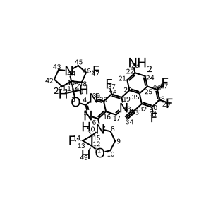 [2H]C([2H])(Oc1nc(N2CCCO[C@H]3[C@H](F)[C@H]32)c2cnc(-c3cc(N)cc4c(F)c(F)c(F)c(C#C)c34)c(F)c2n1)[C@@]12CCCN1C[C@H](F)C2